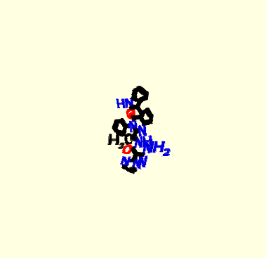 C[C@H](NC(=O)c1c(N)nn2cccnc12)c1nc2cccc(-c3c[nH]c4ccccc34)c2c(=O)n1-c1ccccc1